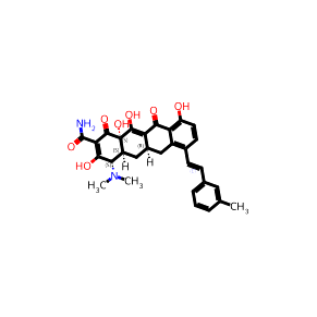 Cc1cccc(/C=C/c2ccc(O)c3c2C[C@H]2C[C@H]4[C@H](N(C)C)C(O)=C(C(N)=O)C(=O)[C@@]4(O)C(O)=C2C3=O)c1